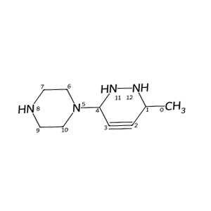 CC1C#CC(N2CCNCC2)NN1